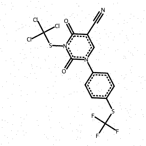 N#Cc1cn(-c2ccc(SC(F)(F)F)cc2)c(=O)n(SC(Cl)(Cl)Cl)c1=O